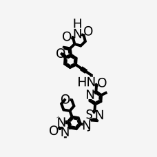 Cc1cc(-c2ncc(N(C)c3cc(C4CCOCC4)c4c(c3)n(C)c(=O)n4C)s2)cnc1C(=O)NCC#Cc1ccc2occ(C3CCC(=O)NC3=O)c2c1